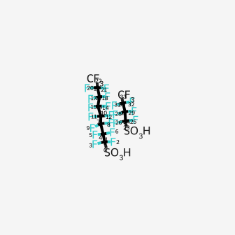 O=S(=O)(O)C(F)(F)C(F)(F)C(F)(F)C(F)(F)C(F)(F)C(F)(F)C(F)(F)C(F)(F)F.O=S(=O)(O)C(F)(F)C(F)(F)C(F)(F)C(F)(F)F